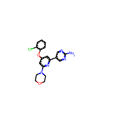 Nc1ncc(-c2cc(Oc3ccccc3Cl)cc(N3CCOCC3)n2)cn1